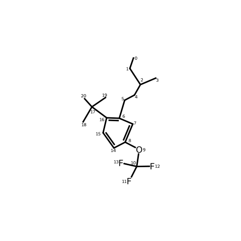 CCC(C)CCc1cc(OC(F)(F)F)ccc1C(C)(C)C